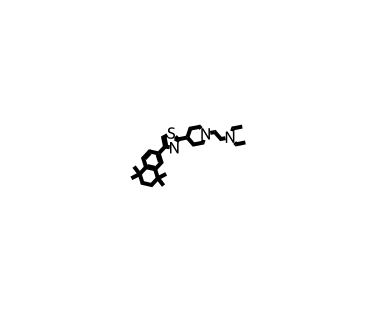 CCN(CC)CCN1CCC(c2nc(-c3ccc4c(c3)C(C)(C)CCC4(C)C)cs2)CC1